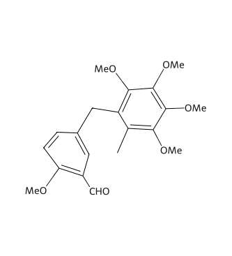 COc1ccc(Cc2c(C)c(OC)c(OC)c(OC)c2OC)cc1C=O